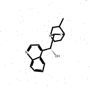 CC1CN2CCC1CC2[C@H](O)c1ccnc2ccccc12